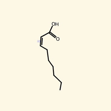 CCCCCC/C=C\C(=O)O